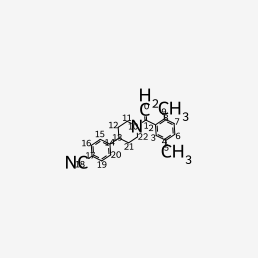 C=C(c1cc(C)ccc1C)N1CCC(c2ccc(C#N)cc2)CC1